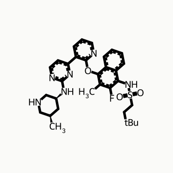 Cc1c(F)c(NS(=O)(=O)CCC(C)(C)C)c2ccccc2c1Oc1ncccc1-c1ccnc(N[C@@H]2CNC[C@H](C)C2)n1